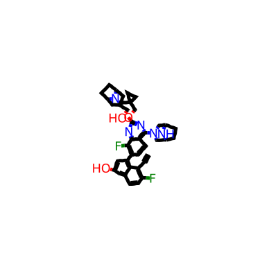 C#Cc1c(F)ccc2cc(O)cc(-c3ccc4c(N5CC6CCC(C5)N6)nc(OCC5(CN6C7CCC6CC(CO)C7)CC5)nc4c3F)c12